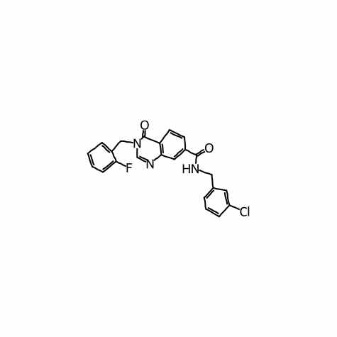 O=C(NCc1cccc(Cl)c1)c1ccc2c(=O)n(Cc3ccccc3F)cnc2c1